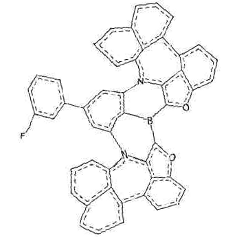 Fc1cccc(-c2cc3c4c(c2)-n2c5cccc6cccc(c7cccc8oc(c2c87)B4c2oc4cccc7c8cccc9cccc(c98)n-3c2c47)c65)c1